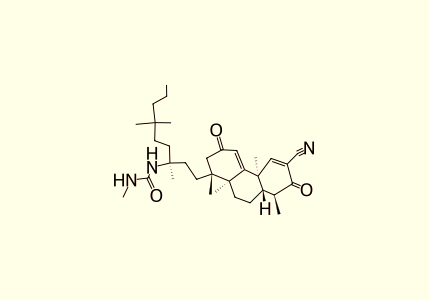 CCCC(C)(C)CC[C@@](C)(CC[C@]1(C)CC(=O)C=C2[C@@]3(C)C=C(C#N)C(=O)[C@@H](C)[C@@H]3CC[C@]21C)NC(=O)NC